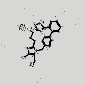 CCCCc1nc(Cl)c(CO)n1Cc1ccc(-c2ccccc2-c2nnn[nH]2)cc1.O.[KH]